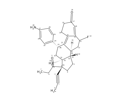 CC#C[C@]1(C(=O)CC)CC[C@H]2[C@@H]3CC(F)C4=CC(=O)CCC4=C3[C@@H](c3ccc(N)cc3)C[C@@]21C